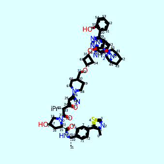 Cc1ncsc1-c1ccc([C@H](C)NC(=O)[C@@H]2C[C@@H](O)CN2C(=O)[C@@H](c2cc(N3CCC(CO[C@H]4C[C@H](Oc5cc(N6C7CCC6CN(c6cc(-c8ccccc8O)nnc6N)C7)ccn5)C4)CC3)no2)C(C)C)cc1